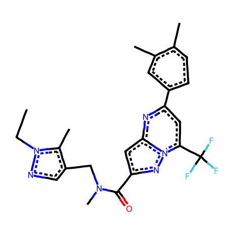 CCn1ncc(CN(C)C(=O)c2cc3nc(-c4ccc(C)c(C)c4)cc(C(F)(F)F)n3n2)c1C